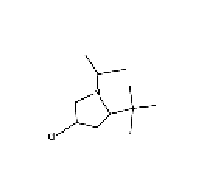 CC(C)N1CC(Cl)CC1C(C)(C)C